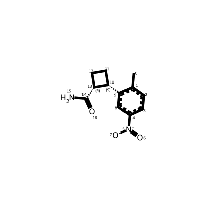 Cc1ccc([N+](=O)[O-])cc1[C@H]1CC[C@H]1C(N)=O